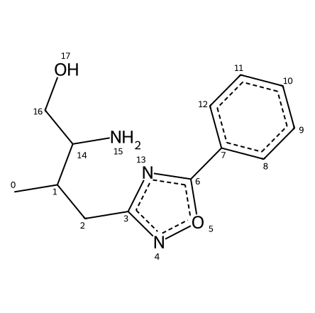 CC(Cc1noc(-c2ccccc2)n1)C(N)CO